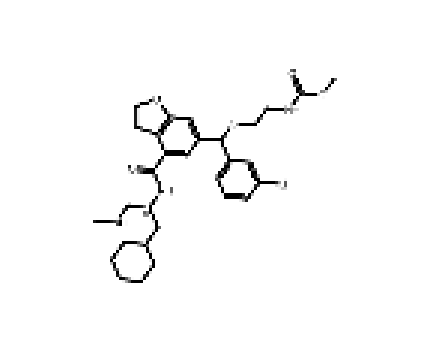 CNC[C@H](CC1CCCCC1)NC(=O)c1cc(C(OCCNC(=O)OC)c2cccc(Cl)c2)cc2c1CCO2